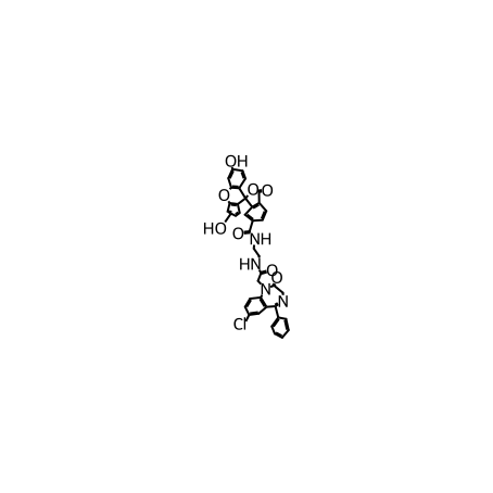 O=C(CN1C(=O)CN=C(c2ccccc2)c2cc(Cl)ccc21)NCCNC(=O)c1ccc2c(c1)C1(OC2=O)c2ccc(O)cc2Oc2cc(O)ccc21